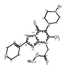 CC(=O)N1CCN(c2c(C)n(CC(=O)OC(C)(C)C)c3nc(C4=CCOCC4)nn3c2=O)CC1